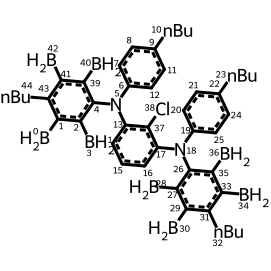 Bc1c(B)c(N(c2ccc(CCCC)cc2)c2cccc(N(c3ccc(CCCC)cc3)c3c(B)c(B)c(CCCC)c(B)c3B)c2Cl)c(B)c(B)c1CCCC